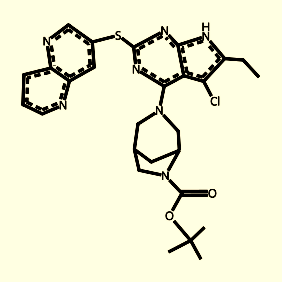 CCc1[nH]c2nc(Sc3cnc4cccnc4c3)nc(N3CC4CC(C3)N(C(=O)OC(C)(C)C)C4)c2c1Cl